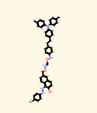 CC(=O)c1ccc(N=Nc2c(O)ccc3cc(CO/N=C/ONc4ccc(CCc5ccc(N(c6ccc(C)cc6)c6ccc(C)cc6)cc5)cc4)ccc23)cc1